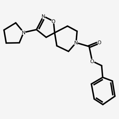 O=C(OCc1ccccc1)N1CCC2(CC1)CC(N1CCCC1)=NO2